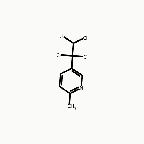 Cc1ccc(C(Cl)(Cl)C(Cl)Cl)cn1